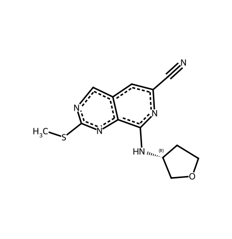 CSc1ncc2cc(C#N)nc(N[C@@H]3CCOC3)c2n1